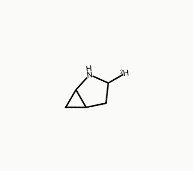 [2H]C1CC2CC2N1